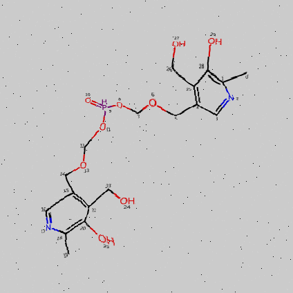 Cc1ncc(COCO[PH](=O)OCOCc2cnc(C)c(O)c2CO)c(CO)c1O